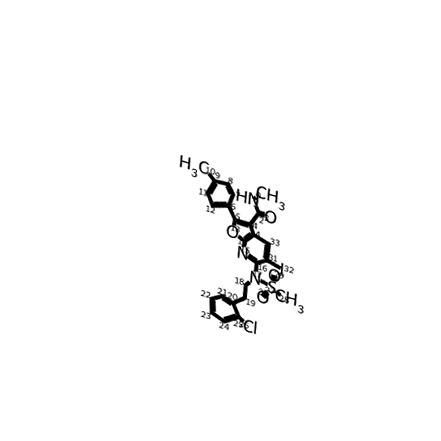 CNC(=O)c1c(-c2ccc(C)cc2)oc2nc(N(CCc3ccccc3Cl)S(C)(=O)=O)c(I)cc12